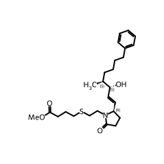 COC(=O)CCCSCCN1C(=O)CC[C@@H]1C=C[C@@H](O)[C@@H](C)CCCCc1ccccc1